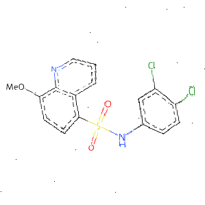 COc1ccc(S(=O)(=O)Nc2ccc(Cl)c(Cl)c2)c2cccnc12